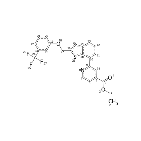 CCOC(=O)c1ccnc(-c2cccc3cc(COc4cccc(C(F)(F)F)c4)sc23)c1